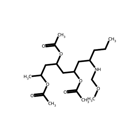 CCCC(CC(CC(CC(C)OC(C)=O)OC(C)=O)OC(C)=O)NCOC